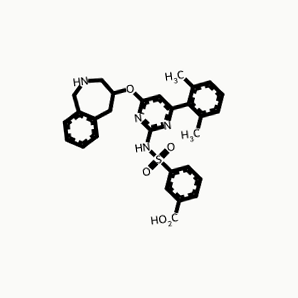 Cc1cccc(C)c1-c1cc(OC2CNCc3ccccc3C2)nc(NS(=O)(=O)c2cccc(C(=O)O)c2)n1